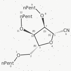 CCCCCOC[C@H]1O[C@@H](C#N)[C@H](OCCCCC)[C@@H]1OCCCCC